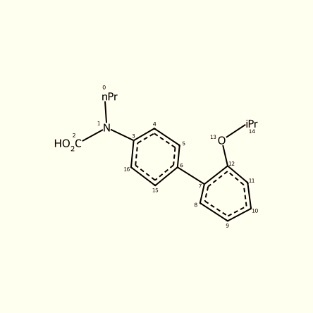 CCCN(C(=O)O)c1ccc(-c2ccccc2OC(C)C)cc1